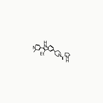 C=C([C@@H]1CCCN1)N1CCC(c2ccc3[nH]c(-c4ccnc(C)c4)c(CC)c3c2)CC1